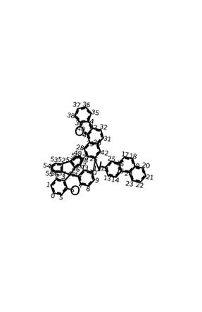 c1ccc2c(c1)Oc1ccc(N(c3ccc4c(ccc5ccccc54)c3)c3ccc4c(ccc5c6ccccc6oc45)c3)cc1C21c2ccccc2-c2ccccc21